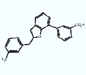 O=C(O)c1cccc(-c2cccc3c2OC(Cc2cccc(C(F)(F)F)c2)C3)c1